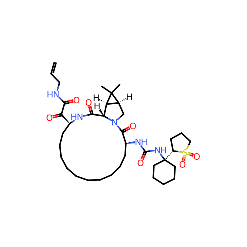 C=CCNC(=O)C(=O)[C@@H]1CCCCCCCCCC[C@H](NC(=O)NC2([C@@H]3CCCS3(=O)=O)CCCCC2)C(=O)N2C[C@H]3[C@@H]([C@H]2C(=O)N1)C3(C)C